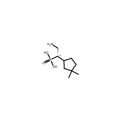 CC1(C)CCC([C@@H](CN)P(=O)(O)O)C1